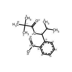 CC(C)C(OC(=O)C(C)(C)C)c1ccccc1[N+](=O)[O-]